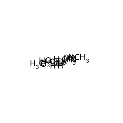 COCC[C@@]1(O)CC[C@@]2(C)[C@@H](CC[C@@H]3[C@@H]2CC[C@]2(C)[C@@H](C(=O)Cn4ncc(C)n4)CC[C@@H]32)C1